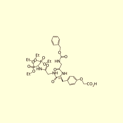 CCOP(=O)(OCC)C(NC(=O)CNC(=O)[C@H](Cc1ccc(OCC(=O)O)cc1)NC(=O)CNC(=O)OCc1ccccc1)P(=O)(OCC)OCC